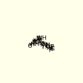 C[C@@H]1CN(Cc2c[nH]nc2-c2ccc(NC=O)[nH]2)CCN1c1ccc(C(F)(F)F)cn1